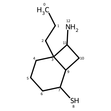 CCCC12CCCC(S)C1CC2N